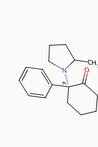 CC1CCCN1[C@@]1(c2ccccc2)CCCCC1=O